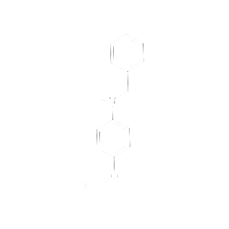 FC(F)(F)Oc1ccc(NCc2ccccc2)cc1